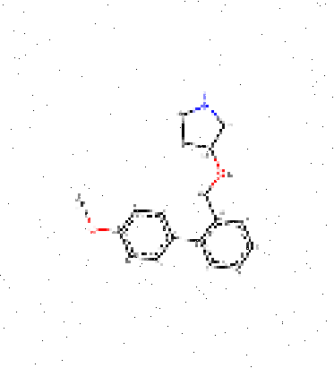 CCOc1ccc(-c2ccccc2COC2CCNC2)cc1